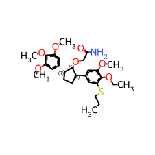 CCCSc1cc([C@H]2CC[C@H](c3cc(OC)c(OC)c(OC)c3)[C@@H]2OCC(N)=O)cc(OC)c1OCC